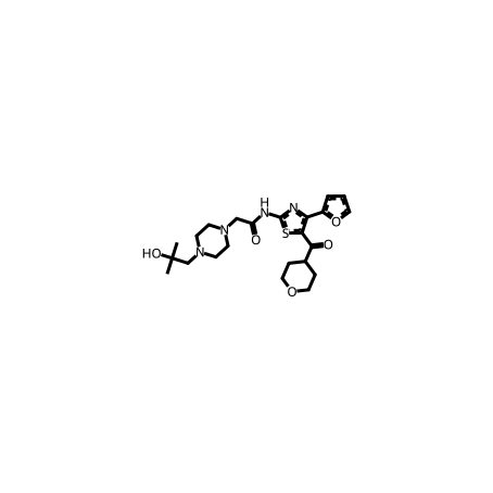 CC(C)(O)CN1CCN(CC(=O)Nc2nc(-c3ccco3)c(C(=O)C3CCOCC3)s2)CC1